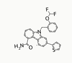 NC(=O)c1cccc2c1c1[c]cc(-c3cccs3)cc1n2Cc1ccccc1OC(F)F